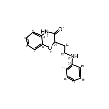 O=C1Nc2ccccc2OC1CCNc1ccccc1